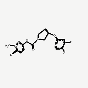 Cn1nc(NC(=O)N2CCC(Oc3ccc(F)c(F)c3)C2)ccc1=O